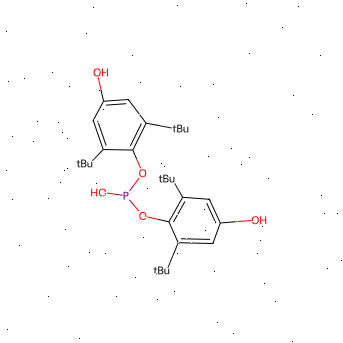 CC(C)(C)c1cc(O)cc(C(C)(C)C)c1OP(O)Oc1c(C(C)(C)C)cc(O)cc1C(C)(C)C